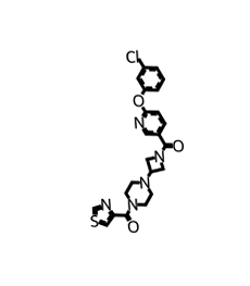 O=C(c1ccc(Oc2cccc(Cl)c2)nc1)N1CC(N2CCN(C(=O)c3cscn3)CC2)C1